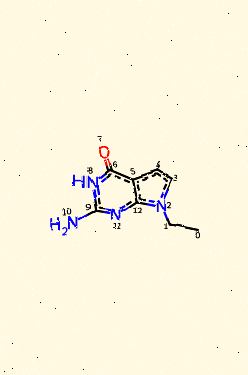 CCn1ccc2c(=O)[nH]c(N)nc21